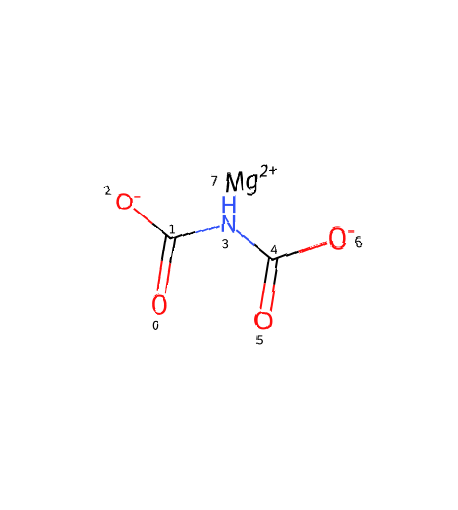 O=C([O-])NC(=O)[O-].[Mg+2]